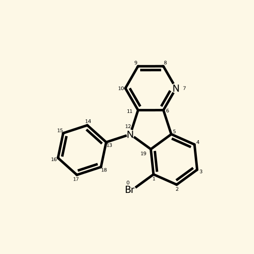 Brc1cccc2c3ncccc3n(-c3ccccc3)c12